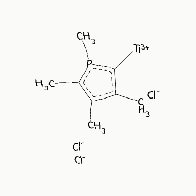 Cc1c(C)[c]([Ti+3])p(C)c1C.[Cl-].[Cl-].[Cl-]